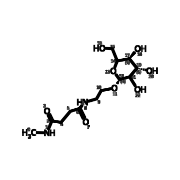 CNC(=O)CCC(=O)NCCO[C@@H]1OC(CO)[C@@H](O)[C@H](O)C1O